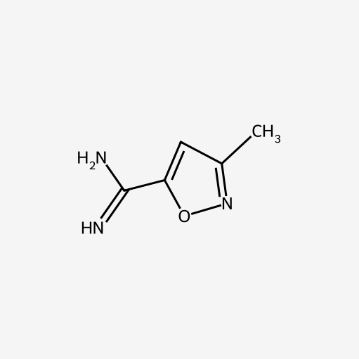 Cc1cc(C(=N)N)on1